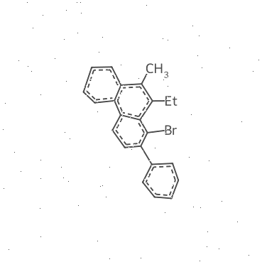 CCc1c(C)c2ccccc2c2ccc(-c3ccccc3)c(Br)c12